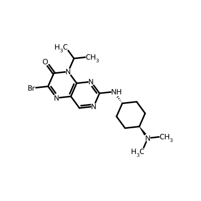 CC(C)n1c(=O)c(Br)nc2cnc(N[C@H]3CC[C@H](N(C)C)CC3)nc21